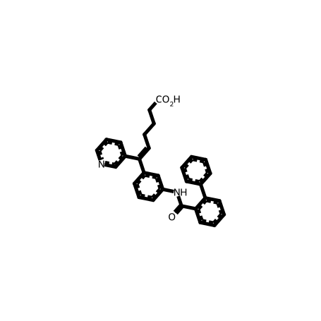 O=C(O)CCC/C=C(\c1cccnc1)c1cccc(NC(=O)c2ccccc2-c2ccccc2)c1